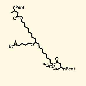 C=C=C=C=CC(CCCCC)CC(=O)OCCCCCCCCC(CCCCCCCCOC(=O)CC(C)CCCCC)OCCCCN(C)CC